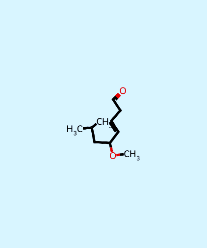 COC(C=CCC=O)CC(C)C